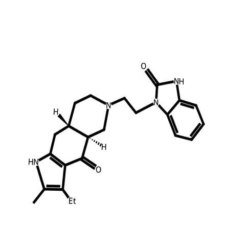 CCc1c(C)[nH]c2c1C(=O)[C@@H]1CN(CCn3c(=O)[nH]c4ccccc43)CC[C@H]1C2